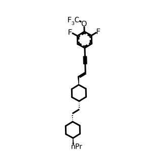 CCC[C@H]1CC[C@H](CC[C@H]2CC[C@H](C=CC#Cc3cc(F)c(OC(F)(F)F)c(F)c3)CC2)CC1